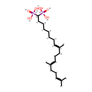 CC(C)=CCCC(C)=CCCC(C)=CCCCCCCC(P(=O)(O)O)P(=O)(O)O